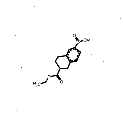 CCOC(=O)C1CCc2cc(S(=O)O)ccc2C1